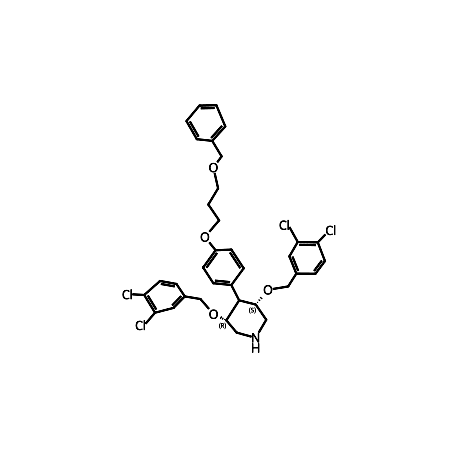 Clc1ccc(CO[C@H]2CNC[C@@H](OCc3ccc(Cl)c(Cl)c3)C2c2ccc(OCCCOCc3ccccc3)cc2)cc1Cl